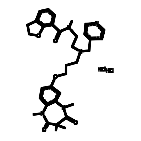 CN(CCN(CCCOc1ccc2c(c1)N(C)C(=O)C(C)(C)C(=O)N2C)Cc1ccncc1)C(=O)c1cccc2c1OCC2.Cl.Cl